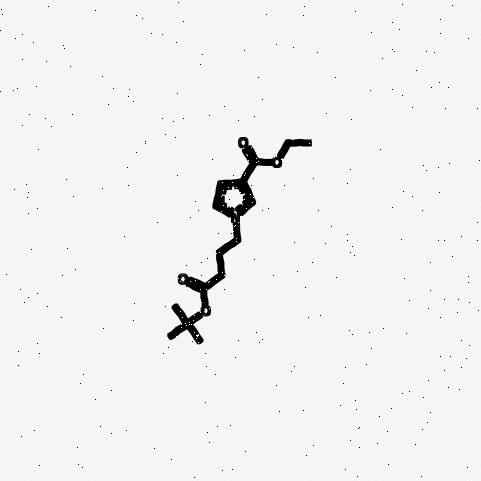 CCOC(=O)c1ccn(CCCC(=O)OC(C)(C)C)c1